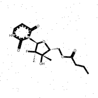 CCCC(=O)OC[C@H]1O[C@H](n2c(=O)cc[nH]c2=O)[C@](C)(F)[C@@]1(C)O